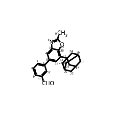 Cc1nc2cc(-c3cccc(C=O)c3)cc(C34CC5CC(CC(C5)C3)C4)c2o1